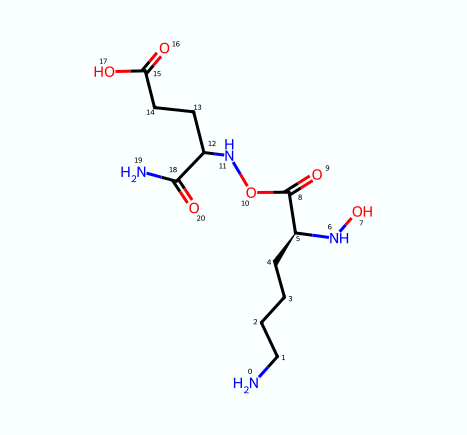 NCCCC[C@H](NO)C(=O)ONC(CCC(=O)O)C(N)=O